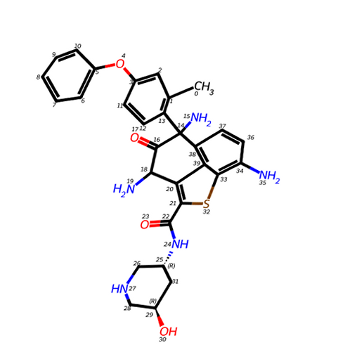 Cc1cc(Oc2ccccc2)ccc1C1(N)C(=O)C(N)c2c(C(=O)N[C@H]3CNC[C@H](O)C3)sc3c(N)ccc1c23